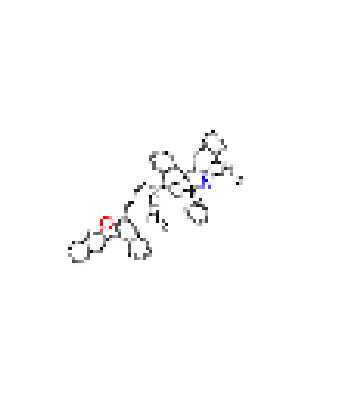 C=C(/C=C\C=C\c1cc2ccccc2c2c1oc1cc3ccccc3cc12)C(=C)c1ccccc1-c1cc(-c2ccccc2)ncc1/C=c1/ccccc1=C